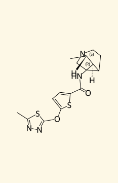 Cc1nnc(Oc2ccc(C(=O)N[C@@H]3C4CCN(CC4)[C@H]3C)s2)s1